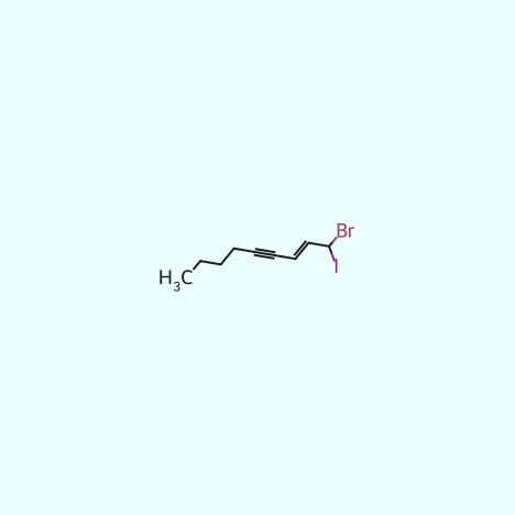 CCCCC#CC=CC(Br)I